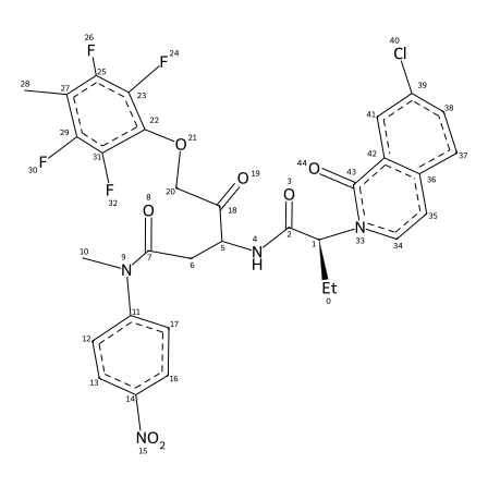 CC[C@@H](C(=O)NC(CC(=O)N(C)c1ccc([N+](=O)[O-])cc1)C(=O)COc1c(F)c(F)c(C)c(F)c1F)n1ccc2ccc(Cl)cc2c1=O